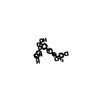 CC(c1ccc(Cl)cc1)N1CC2(CCN(c3ccc(C(=O)O)c(Oc4cnc5[nH]ccc5c4)c3)CC2)C1